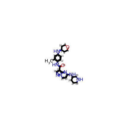 Cc1cc(NC2CCOCC2)ccc1NC(=O)c1cnn2ccc(N[C@@H]3CCCNC3)nc12